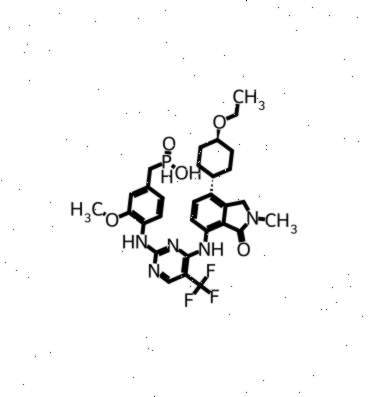 CCO[C@H]1CC[C@H](c2ccc(Nc3nc(Nc4ccc(C[PH](=O)O)cc4OC)ncc3C(F)(F)F)c3c2CN(C)C3=O)CC1